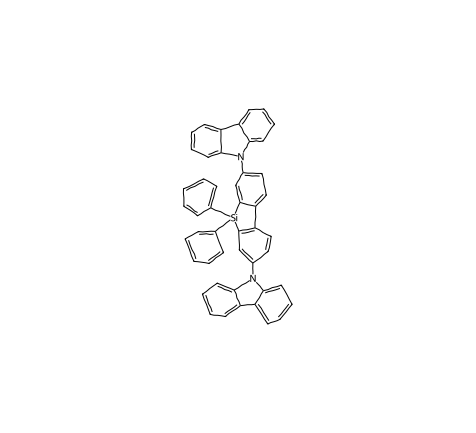 c1ccc([Si]2(c3ccccc3)c3cc(-n4c5ccccc5c5ccccc54)ccc3-c3ccc(-n4c5ccccc5c5ccccc54)cc32)cc1